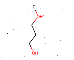 [CH2-][OH+]CCCO